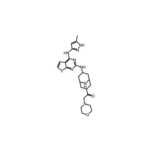 Cc1cc(Nc2nc(NC3CC4CC(C(=O)CN5CCOCC5)CC(C3)N4)nc3sccc23)n[nH]1